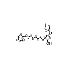 OC1CC(OC2CCCCO2)C=C1CCCCCCCOC1CCCCO1